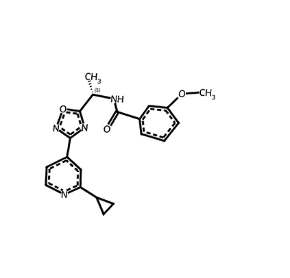 COc1cccc(C(=O)N[C@@H](C)c2nc(-c3ccnc(C4CC4)c3)no2)c1